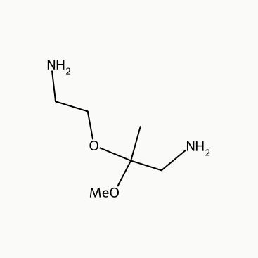 COC(C)(CN)OCCN